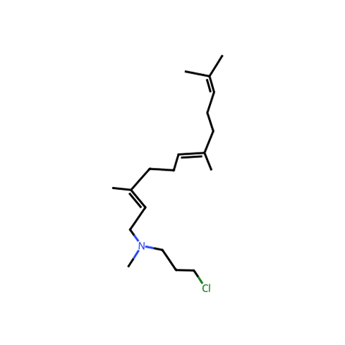 CC(C)=CCCC(C)=CCCC(C)=CCN(C)CCCCl